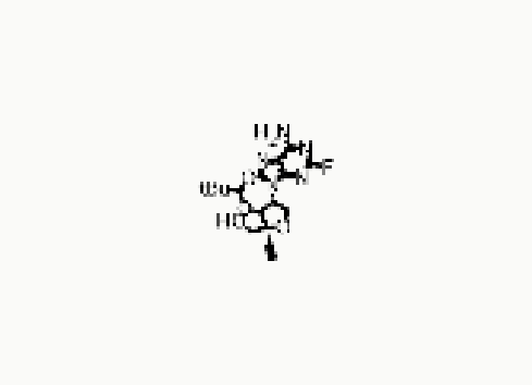 C#C[C@]1(CO)OC[C@@H](n2cnc3c(N)nc(F)nc32)[C@@H]1OC(=O)C(C)(C)C